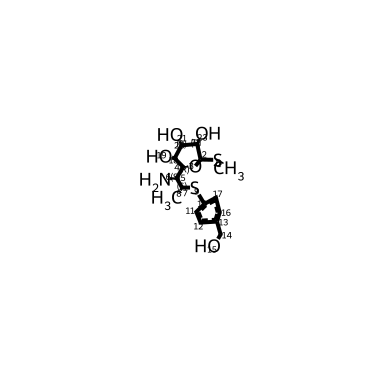 CSC1O[C@H]([C@H](N)[C@H](C)Sc2ccc(CO)cc2)C(O)[C@@H](O)[C@H]1O